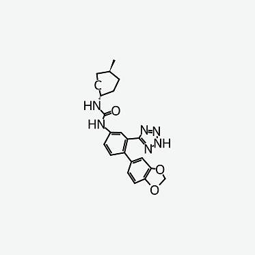 C[C@H]1CC[C@H](NC(=O)Nc2ccc(-c3ccc4c(c3)OCO4)c(-c3nn[nH]n3)c2)CC1